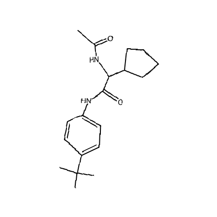 CC(=O)NC(C(=O)Nc1ccc(C(C)(C)C)cc1)C1CCCC1